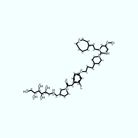 CCOC1CNC(N2CCC(CCCOc3ccc(CC(=O)N4CC[C@@H](CNC[C@H](O)[C@@H](O)[C@H](O)[C@H](O)CO)C4)c(F)c3)CC2)N(CCC2CCCCCCC2)C1